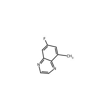 Cc1cc(F)cc2nccnc12